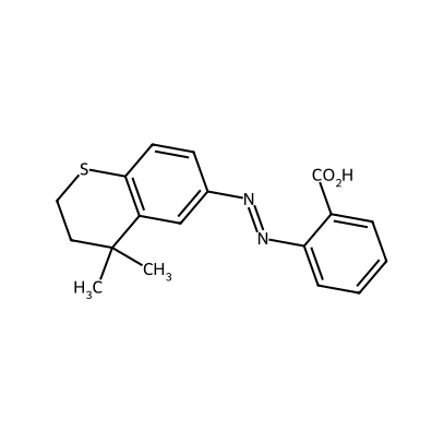 CC1(C)CCSc2ccc(N=Nc3ccccc3C(=O)O)cc21